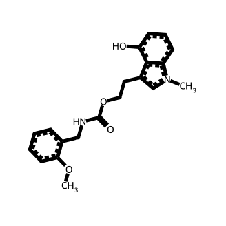 COc1ccccc1CNC(=O)OCCc1cn(C)c2cccc(O)c12